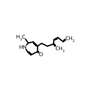 C=C/C=C\C(=C)CCC1=CC(C)NC=CC1=O